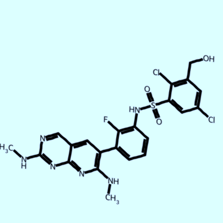 CNc1ncc2cc(-c3cccc(NS(=O)(=O)c4cc(Cl)cc(CO)c4Cl)c3F)c(NC)nc2n1